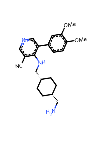 COc1ccc(-c2cncc(C#N)c2NC[C@H]2CC[C@@H](CN)CC2)cc1OC